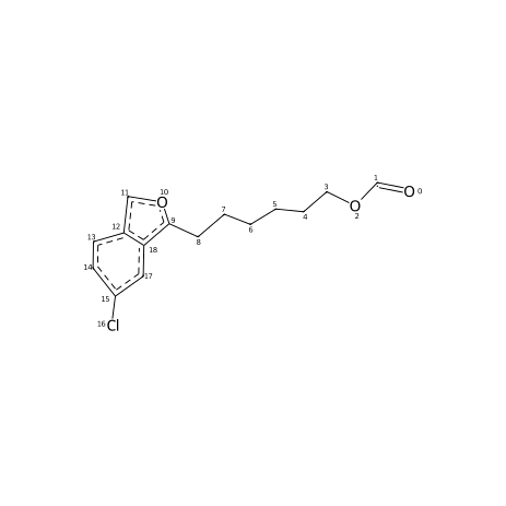 O=[C]OCCCCCCc1occ2ccc(Cl)cc12